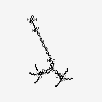 C#CCCCCOc1cc(C(=O)NC2CCN(c3nc(N4CCC(NC(=O)c5cc(OCCCCC#C)c(OCCCCC#C)c(OCCCCC#C)c5)CC4)nc(N4CCC(C(=O)NCCOCCOCCOCCOCCOCCOCCOCCNC(=O)CCCCC5SCC6NC(=O)NC65)CC4)n3)CC2)cc(OCCCCC#C)c1OCCCCC#C